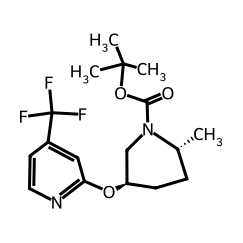 C[C@@H]1CC[C@@H](Oc2cc(C(F)(F)F)ccn2)CN1C(=O)OC(C)(C)C